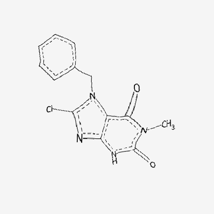 Cn1c(=O)[nH]c2nc(Cl)n(Cc3ccccc3)c2c1=O